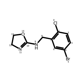 Clc1ccc(Br)cc1CNC1=NCCO1